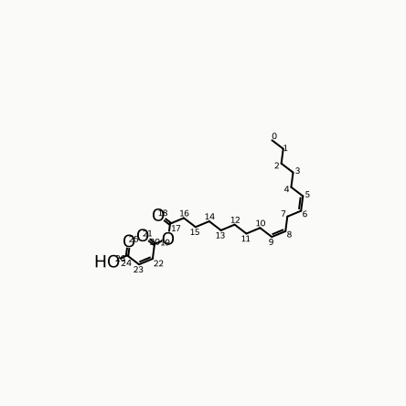 CCCCC/C=C\C/C=C\CCCCCCCC(=O)OC(=O)/C=C\C(=O)O